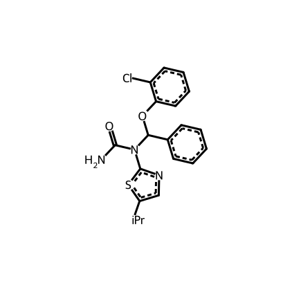 CC(C)c1cnc(N(C(N)=O)C(Oc2ccccc2Cl)c2ccccc2)s1